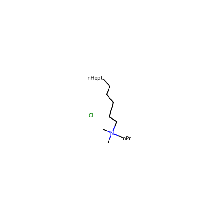 CCCCCCCCCCCC[N+](C)(C)CCC.[Cl-]